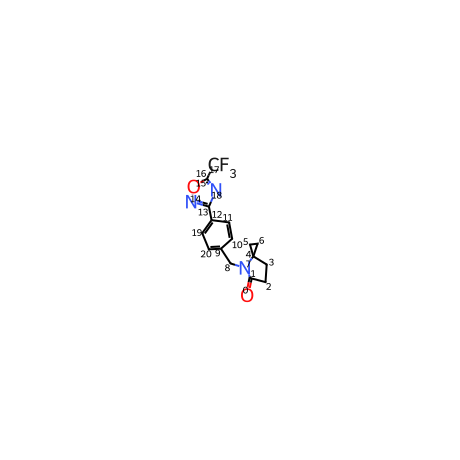 O=C1CCC2(CC2)N1Cc1ccc(-c2noc(C(F)(F)F)n2)cc1